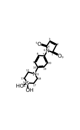 O=C1C=CC(=O)N1c1ccc(N2CCS(O)(O)CC2)cc1